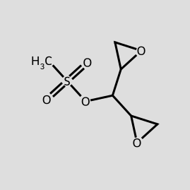 CS(=O)(=O)OC(C1CO1)C1CO1